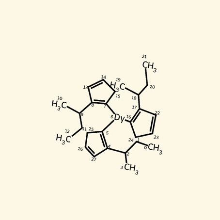 CCC(C)C1=[C]([Dy]([C]2=C(C(C)CC)C=CC2)[C]2=C(C(C)CC)C=CC2)CC=C1